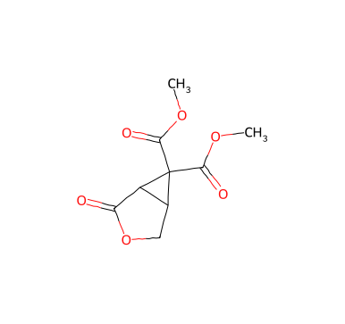 COC(=O)C1(C(=O)OC)C2COC(=O)C21